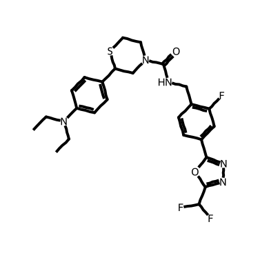 CCN(CC)c1ccc(C2CN(C(=O)NCc3ccc(-c4nnc(C(F)F)o4)cc3F)CCS2)cc1